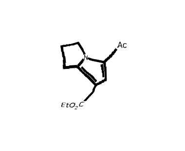 CCOC(=O)c1cc(C(C)=O)n2c1CCC2